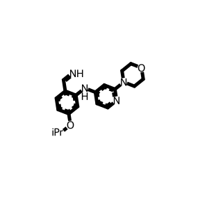 CC(C)Oc1ccc(C=N)c(Nc2ccnc(N3CCOCC3)c2)c1